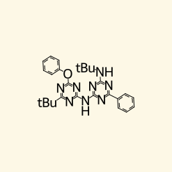 CC(C)(C)Nc1nc(Nc2nc(Oc3ccccc3)nc(C(C)(C)C)n2)nc(-c2ccccc2)n1